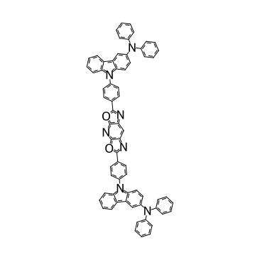 c1ccc(N(c2ccccc2)c2ccc3c(c2)c2ccccc2n3-c2ccc(-c3nc4cc5nc(-c6ccc(-n7c8ccccc8c8cc(N(c9ccccc9)c9ccccc9)ccc87)cc6)oc5nc4o3)cc2)cc1